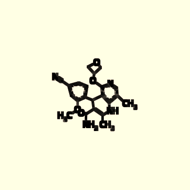 COc1cc(C#N)ccc1C1C(C(N)=O)=C(C)Nc2c(C)cnc(OC3COC3)c21